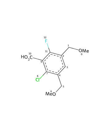 COCc1cc(COC)c(Cl)c(C(=O)O)c1F